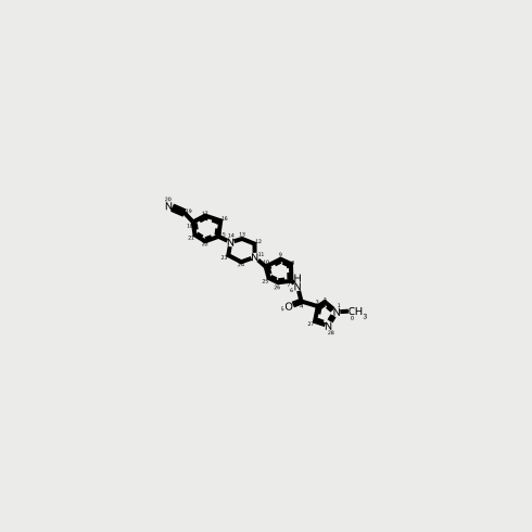 Cn1cc(C(=O)Nc2ccc(N3CCN(c4ccc(C#N)cc4)CC3)cc2)cn1